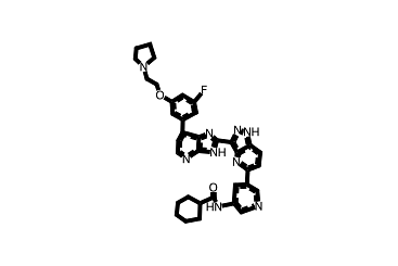 O=C(Nc1cncc(-c2ccc3[nH]nc(-c4nc5c(-c6cc(F)cc(OCCN7CCCC7)c6)ccnc5[nH]4)c3n2)c1)C1CCCCC1